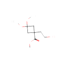 COC(=O)C1(CCO)CC(OC)(OC)C1